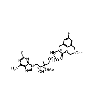 CCCCCCCCCCCOC(=O)[C@H](Cc1cc(F)cc(F)c1)N[PH](=O)OC[C@@](C)(OC)[C@@H](O)Cn1cnc2c(N)nc(F)nc21